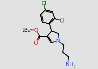 CC(C)(C)OC(=O)C1=CN(CCCN)CC1c1ccc(Cl)cc1Cl